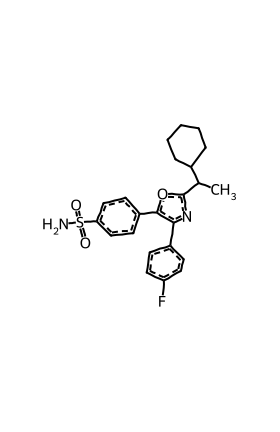 CC(c1nc(-c2ccc(F)cc2)c(-c2ccc(S(N)(=O)=O)cc2)o1)C1CCCCC1